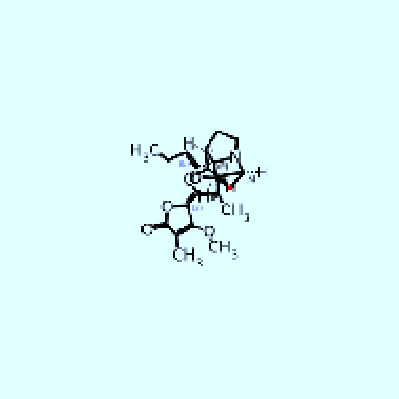 CC/C=C/[C@]12[C@@H]3CCN1[C@H]1C[C@H]2OC32O/C(=C3\OC(=O)C(C)=C3OC)[C@H](C)[C@@H]12